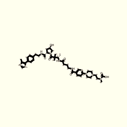 Cc1ncsc1-c1ccc(CCNC(=O)[C@@H]2C[C@@H](O)CN2C(=O)C(C)(C)[C@H](C)NC(=O)CCCNC(=O)c2ccc(N3CCN(CCN(C)C(=O)O)CC3)nc2)cc1